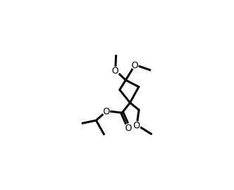 COCC1(C(=O)OC(C)C)CC(OC)(OC)C1